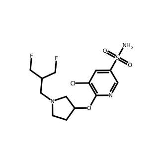 NS(=O)(=O)c1cnc(OC2CCN(CC(CF)CF)C2)c(Cl)c1